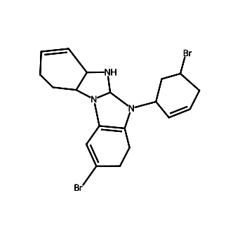 BrC1=CC2=C(CC1)N(C1C=CCC(Br)C1)C1NC3C=CCCC3N21